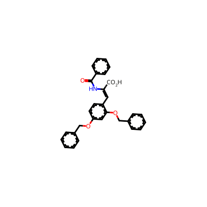 O=C(O)C(=Cc1ccc(OCc2ccccc2)cc1OCc1ccccc1)NC(=O)c1ccccc1